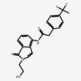 O=C(Cc1ccc(C(F)(F)F)cc1)Nc1cccc2c(=O)n(CCO)ccc12